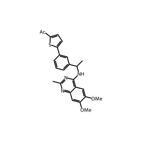 COc1cc2nc(C)nc(NC(C)c3cccc(-c4ccc(C(C)=O)s4)c3)c2cc1OC